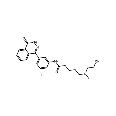 CN(CCO)CCCCC(=O)Nc1cccc(-c2n[nH]c(=O)c3ccccc23)c1.Cl